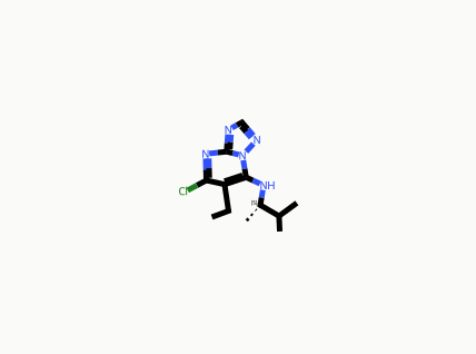 CCc1c(Cl)nc2ncnn2c1N[C@@H](C)C(C)C